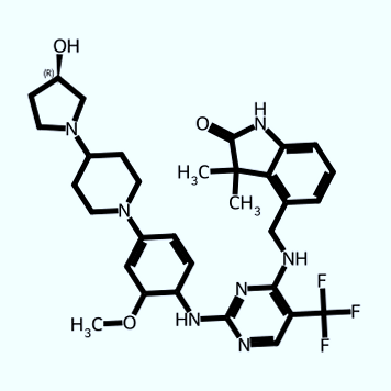 COC1C=C(N2CCC(N3CC[C@@H](O)C3)CC2)C=CC1Nc1ncc(C(F)(F)F)c(NCc2cccc3c2C(C)(C)C(=O)N3)n1